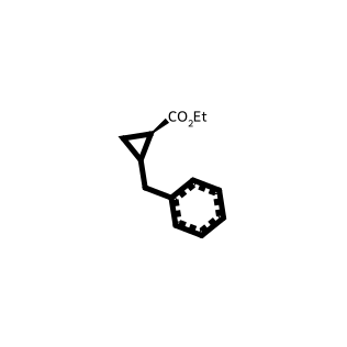 CCOC(=O)[C@@H]1CC1Cc1ccccc1